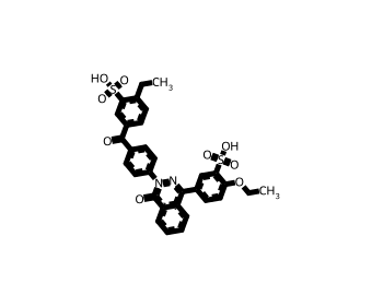 CCOc1ccc(-c2nn(-c3ccc(C(=O)c4ccc(CC)c(S(=O)(=O)O)c4)cc3)c(=O)c3ccccc23)cc1S(=O)(=O)O